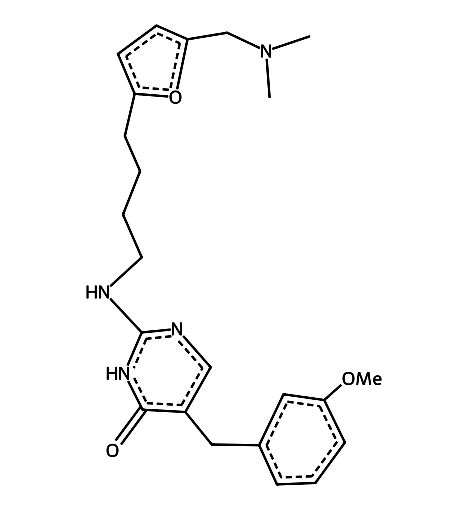 COc1cccc(Cc2cnc(NCCCCc3ccc(CN(C)C)o3)[nH]c2=O)c1